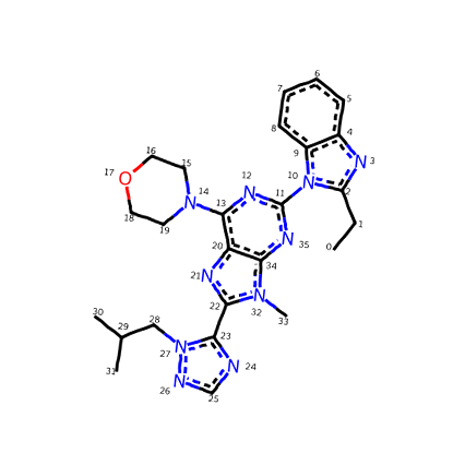 CCc1nc2ccccc2n1-c1nc(N2CCOCC2)c2nc(-c3ncnn3CC(C)C)n(C)c2n1